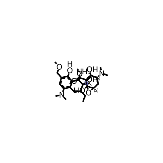 CCC1Cc2c(N(C)C)cc(COC)c(O)c2C(=O)/C1=C(\O)[C@@]12C[C@H](N(C)C)C(O)=C(C(N)=O)C1(O)O2